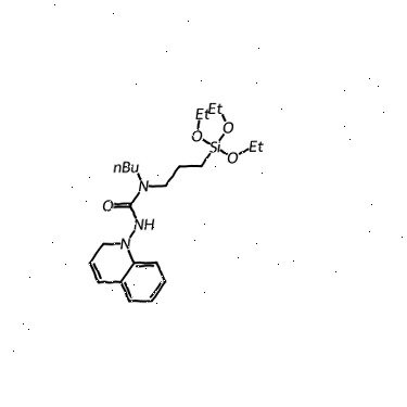 CCCCN(CCC[Si](OCC)(OCC)OCC)C(=O)NN1CC=Cc2ccccc21